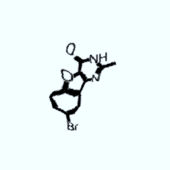 Cc1nc2c(oc3ccc(Br)cc32)c(=O)[nH]1